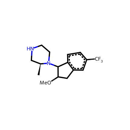 COC1Cc2cc(C(F)(F)F)ccc2C1N1CCNC[C@@H]1C